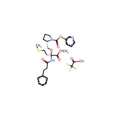 COC(=O)[C@@](CCSC)(NC(=O)CCc1ccccc1)OC[C@@H]1CCCN1C(=O)Oc1cccnc1.O=C(O)C(F)(F)F